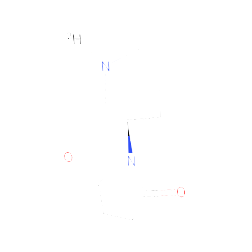 [2H]N1CCC[C@@H](N2C(=O)CCC2=O)C1